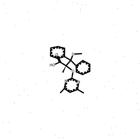 COC(c1ccccc1)(c1ccccc1)[C@](C)(Oc1nc(C)cc(C)n1)C(=O)O